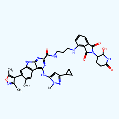 CCn1nc(C2CC2)cc1Nc1nc(C(=O)NCCCNc2cccc3c2C(=O)N(C2CCC(=O)NC2O)C3=O)nc2[nH]c3cc(-c4c(C)noc4C)c(OC)cc3c12